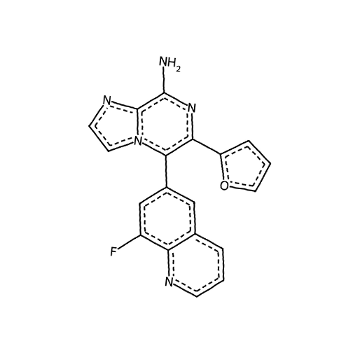 Nc1nc(-c2ccco2)c(-c2cc(F)c3ncccc3c2)n2ccnc12